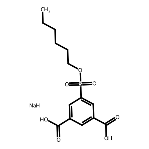 CCCCCCOS(=O)(=O)c1cc(C(=O)O)cc(C(=O)O)c1.[NaH]